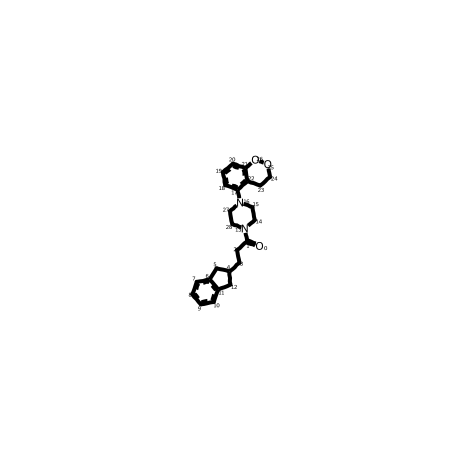 O=C(CCC1Cc2ccccc2C1)N1CCN(c2cccc3c2CCOO3)CC1